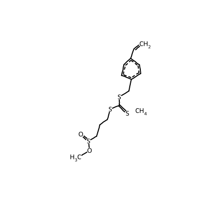 C.C=Cc1ccc(CSC(=S)SCCCS(=O)OC)cc1